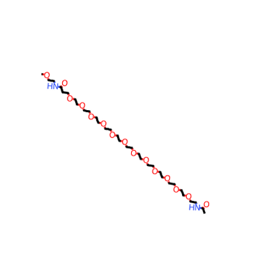 COCCNC(=O)CCOCCOCCOCCOCCOCCOCCOCCOCCOCCOCCOCCOCCNC(C)=O